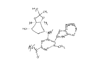 Cc1nc([S+](C)[O-])nc(N[C@@H]2C[C@H](O)[C@H]3OC(C)(C)O[C@H]32)c1-c1nc2ccccc2s1